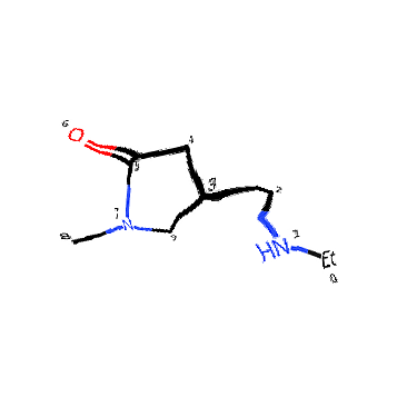 CCNCC1CC(=O)N(C)C1